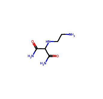 NCCNC(C(N)=O)C(N)=O